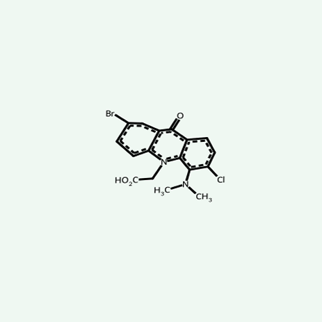 CN(C)c1c(Cl)ccc2c(=O)c3cc(Br)ccc3n(CC(=O)O)c12